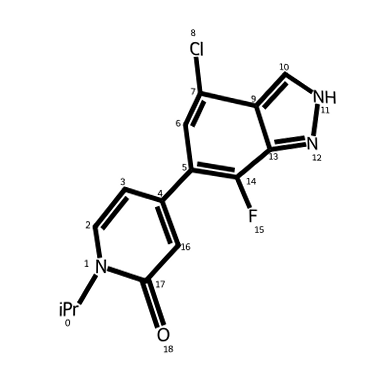 CC(C)n1ccc(-c2cc(Cl)c3c[nH]nc3c2F)cc1=O